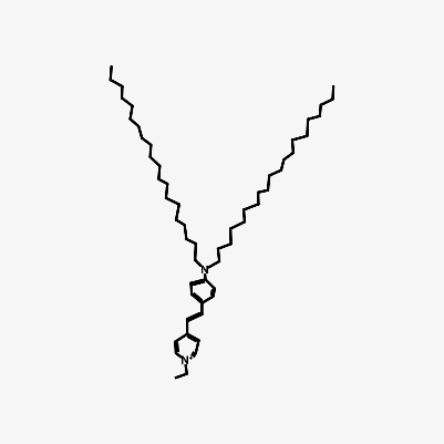 CCCCCCCCCCCCCCCCCCCCN(CCCCCCCCCCCCCCCCCCCC)c1ccc(C=Cc2cc[n+](CC)cc2)cc1